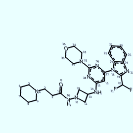 O=C(CCN1CCCCC1)NN1CC(Nc2cc(-n3c(C(F)F)nc4ccccc43)nc(N3CCOCC3)n2)C1